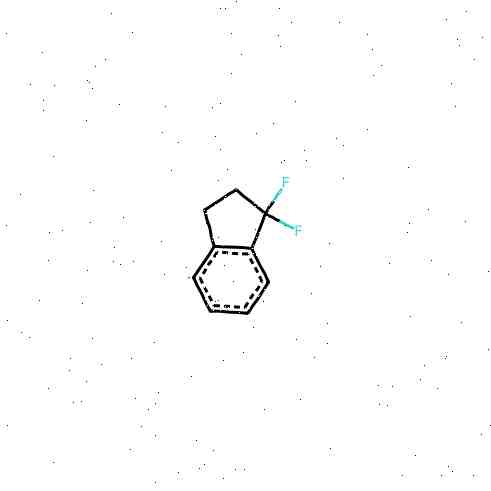 FC1(F)CCc2[c]cccc21